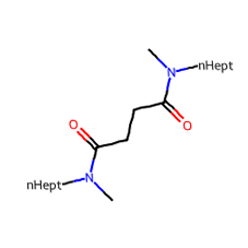 CCCCCCCN(C)C(=O)CCC(=O)N(C)CCCCCCC